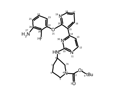 CC(C)(C)OC(=O)N1CCCC(Nc2nccc(-c3cccnc3Oc3cccc(N)c3F)n2)C1